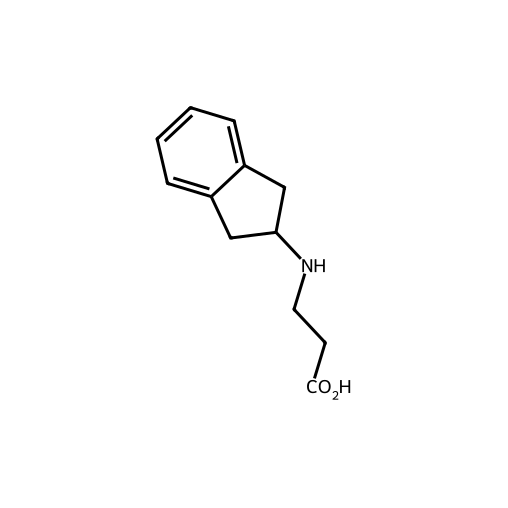 O=C(O)CCNC1Cc2ccccc2C1